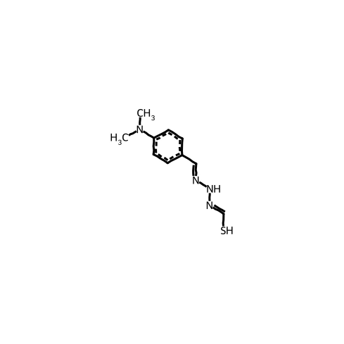 CN(C)c1ccc(C=NNN=CS)cc1